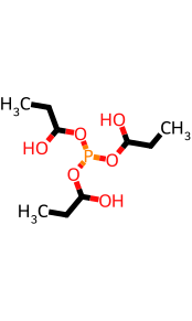 CCC(O)OP(OC(O)CC)OC(O)CC